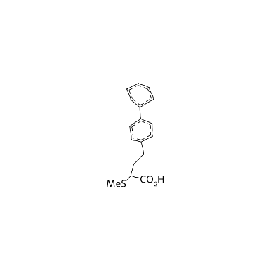 CSC(CCc1ccc(-c2ccccc2)cc1)C(=O)O